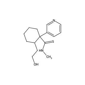 CNC(=S)C1(c2cccnc2)CCCCC1CCO